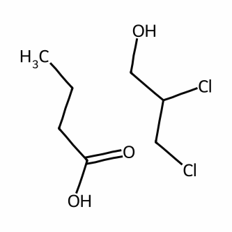 CCCC(=O)O.OCC(Cl)CCl